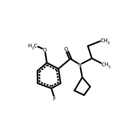 CCC(C)N(C(=O)c1cc(F)ccc1OC)C1CCC1